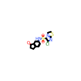 O=C1CCc2ccc(NS(=O)(=O)C3C(Cl)N=C4SCCN43)cc21